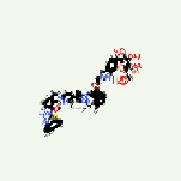 Cc1c(-c2ccc(N3CCc4cccc(C(=O)Nc5nc6ccccc6s5)c4C3)nc2C(=O)O)cnn1CC12CC3(C)CC(C)(C1)CC(OCCNCc1ccc(CC4O[C@H](CO)[C@@H](O)[C@H](O)[C@H]4O)cc1)(C3)C2